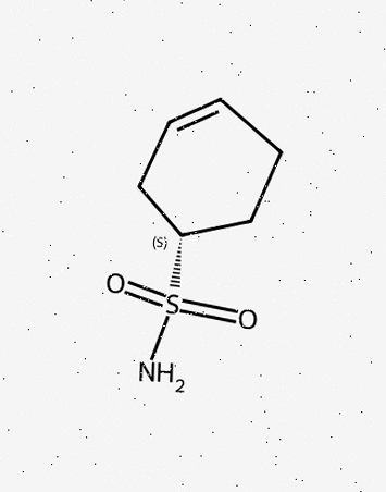 NS(=O)(=O)[C@@H]1CC=CCC1